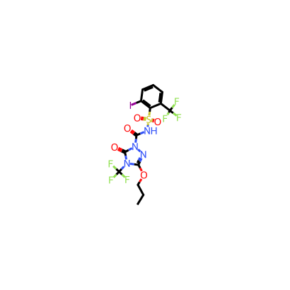 CCCOc1nn(C(=O)NS(=O)(=O)c2c(I)cccc2C(F)(F)F)c(=O)n1C(F)(F)F